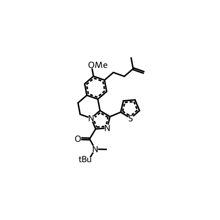 C=C(C)CCc1cc2c(cc1OC)CCn1c(C(=O)N(C)C(C)(C)C)nc(-c3cccs3)c1-2